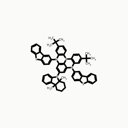 CC(C)(C)c1ccc2c(c1)N(c1ccc3sc4ccccc4c3c1)c1cc(N3c4ccccc4C4(C)CCCCC34C)cc3c1B2c1ccc(C(C)(C)C)cc1N3c1ccc2sc3ccccc3c2c1